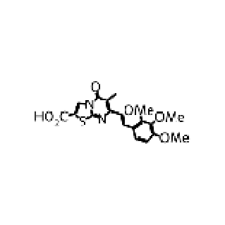 COc1ccc(/C=C/c2nc3sc(C(=O)O)cn3c(=O)c2C)c(OC)c1OC